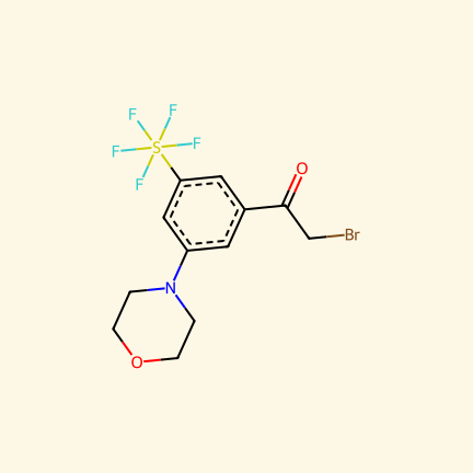 O=C(CBr)c1cc(N2CCOCC2)cc(S(F)(F)(F)(F)F)c1